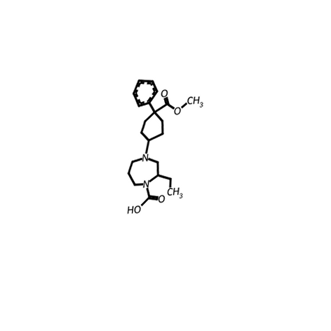 CCC1CN(C2CCC(C(=O)OC)(c3ccccc3)CC2)CCCN1C(=O)O